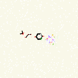 CC1(C)OCC(COc2ccc(OP3(Cl)=NP(Cl)(Cl)=NP(Cl)(Cl)=N3)cc2)O1